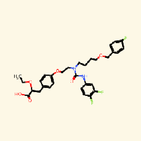 CCOC(Cc1ccc(OCCN(CCCCOCc2ccc(F)cc2)C(=O)Nc2ccc(F)c(F)c2)cc1)C(=O)O